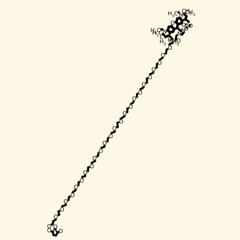 CCC1=CC(C)(C)N(CC)c2cc3c(cc21)C(c1nccn1CC(=O)NCCOCCOCCOCCOCCOCCOCCOCCOCCOCCOCCOCCOCCOCCOCCOCCOCCOCCOCCOCCOCCOCCOCCOCCOCCC(=O)ON1C(=O)CCC1=O)=c1cc2c(cc1O3)=[N+](CC)C(C)(C)C=C2CS(=O)(=O)[O-]